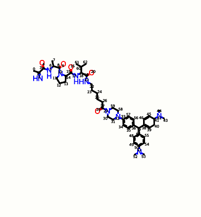 CC(=N)C(=O)NC(C)C(=O)N1CCCC1C(=O)NC(C(=O)NCCCCCC(=O)N1CCN(c2ccc(C(C3=CCC(N(C)C)C=C3)c3ccc(N(C)C)cc3)cc2)CC1)C(C)C